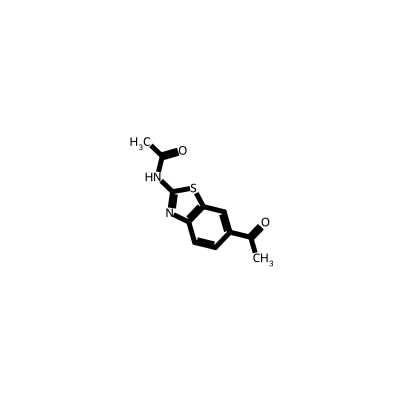 CC(=O)Nc1nc2ccc(C(C)=O)cc2s1